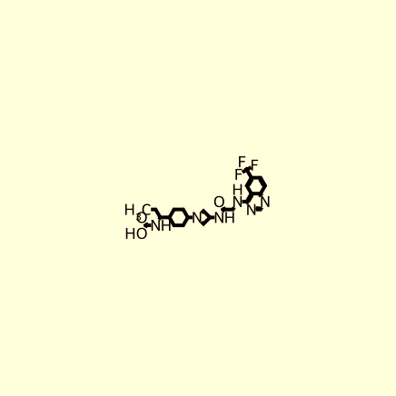 CCC(NC(=O)O)C1CCC(N2CC(NC(=O)CNc3ncnc4ccc(C(F)(F)F)cc34)C2)CC1